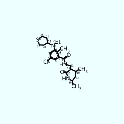 CCN(c1cc(Cl)cc(C(=O)NCC2C(=O)NC(C)CC2C)c1C)C1CCSCC1